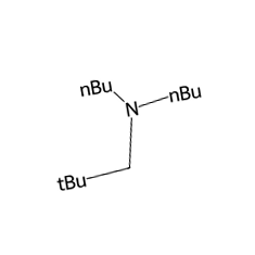 CCCCN(CCCC)CC(C)(C)C